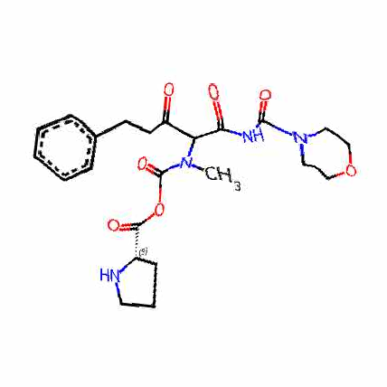 CN(C(=O)OC(=O)[C@@H]1CCCN1)C(C(=O)CCc1ccccc1)C(=O)NC(=O)N1CCOCC1